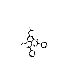 CCCc1cc(CC(C)C)cc(OC(=O)c2ccccc2)c1OC(=O)c1ccccc1